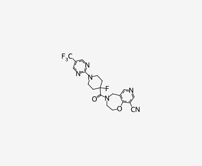 N#Cc1cncc2c1OCCN(C(=O)C1(F)CCN(c3ncc(C(F)(F)F)cn3)CC1)C2